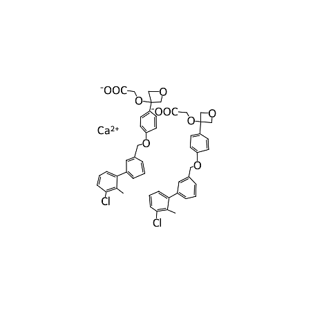 Cc1c(Cl)cccc1-c1cccc(COc2ccc(C3(OCC(=O)[O-])COC3)cc2)c1.Cc1c(Cl)cccc1-c1cccc(COc2ccc(C3(OCC(=O)[O-])COC3)cc2)c1.[Ca+2]